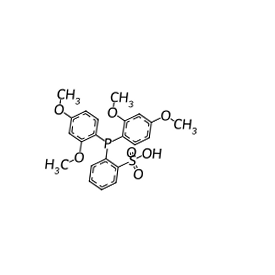 COc1ccc(P(c2ccc(OC)cc2OC)c2ccccc2S(=O)(=O)O)c(OC)c1